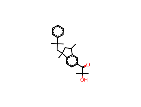 CC1CC(C)(CC(C)(C)c2ccccc2)c2ccc(C(=O)C(C)(C)O)cc21